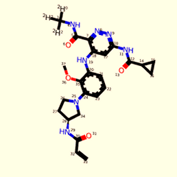 [2H]C([2H])([2H])NC(=O)c1nnc(NC(=O)C2CC2)cc1Nc1cccc(N2CC[C@H](NC(=O)C=C)C2)c1OC